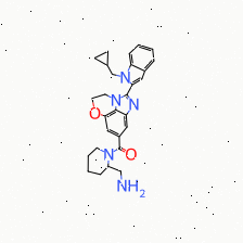 NCC1CCCCN1C(=O)c1cc2c3c(c1)nc(-c1cc4ccccc4n1CC1CC1)n3CCO2